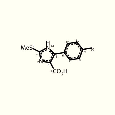 CSc1nc(C(=O)O)c(-c2ccc(C)cc2)[nH]1